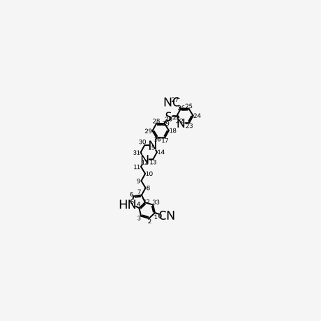 N#Cc1ccc2[nH]cc(CCCCN3CCN(c4ccc(Sc5ncccc5C#N)cc4)CC3)c2c1